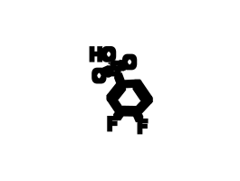 O=S(=O)(O)c1ccc(F)c(F)c1